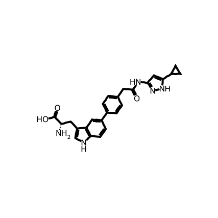 N[C@@H](Cc1c[nH]c2ccc(-c3ccc(CC(=O)Nc4cc(C5CC5)[nH]n4)cc3)cc12)C(=O)O